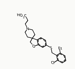 CCc1cccc(Cl)c1CSc1ccc2c(c1)OCC21CCN(CCC(=O)O)CC1